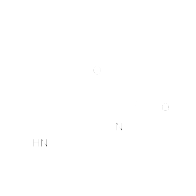 CNCCN(C)C(=O)c1ccco1